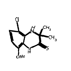 COc1ccc(Cl)c2c1NC(=S)C(C)(C)N2